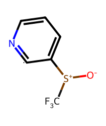 [O-][S+](c1[c]nccc1)C(F)(F)F